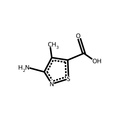 Cc1c(N)nsc1C(=O)O